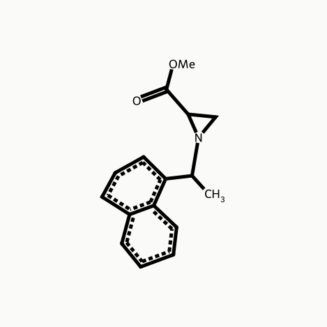 COC(=O)C1CN1C(C)c1cccc2ccccc12